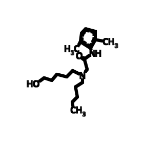 CCCCCN(CCCCCO)CC(=O)Nc1c(C)cccc1C